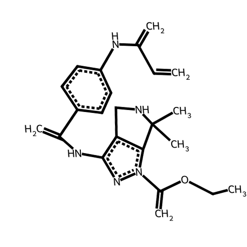 C=CC(=C)Nc1ccc(C(=C)Nc2nn(C(=C)OCC)c3c2CNC3(C)C)cc1